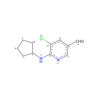 O=Cc1cnc(NC2CCCC2)c(Cl)c1